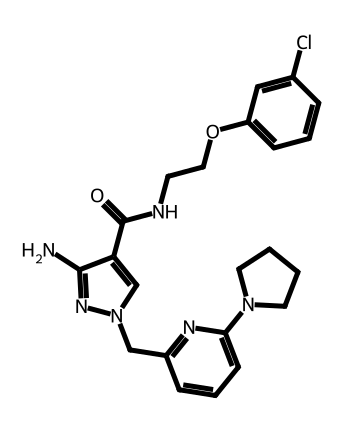 Nc1nn(Cc2cccc(N3CCCC3)n2)cc1C(=O)NCCOc1cccc(Cl)c1